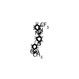 CS(=O)(=O)c1cccc(Oc2ccc(-c3cnc4c(C(F)(F)F)cccc4n3)cc2)c1